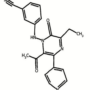 CCc1nc(-c2ccncc2)c(C(C)=O)n(Nc2cccc(C#N)c2)c1=O